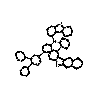 c1ccc(-c2ccc(-c3ccc(N(c4ccccc4-c4cccc5oc6cc7ccccc7cc6c45)c4cccc5oc6ccccc6c45)cc3)cc2-c2ccccc2)cc1